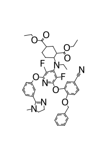 CCOC(=O)C1CCC(N(CC)c2c(F)c(Oc3cccc(C4=NCCN4C)c3)nc(Oc3cc(C#N)ccc3OCc3ccccc3)c2F)C(C(=O)OCC)C1